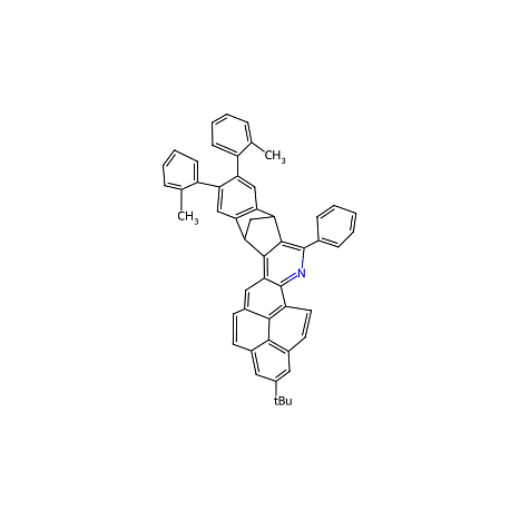 Cc1ccccc1-c1cc2c(cc1-c1ccccc1C)C1CC2c2c(-c3ccccc3)nc3c(cc4ccc5cc(C(C)(C)C)cc6ccc3c4c56)c21